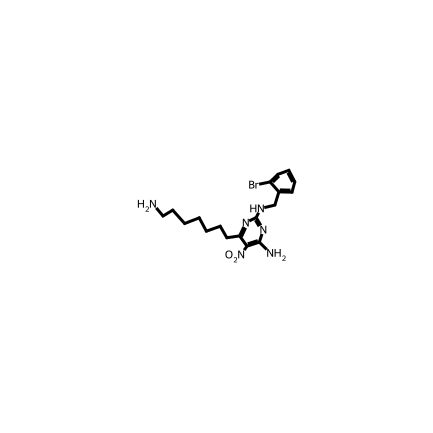 NCCCCCCCc1nc(NCc2ccccc2Br)nc(N)c1[N+](=O)[O-]